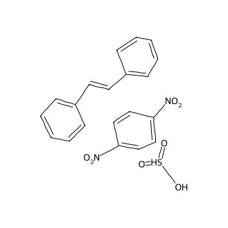 C(=Cc1ccccc1)c1ccccc1.O=[N+]([O-])c1ccc([N+](=O)[O-])cc1.O=[SH](=O)O